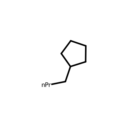 [CH2]CCCC1CCCC1